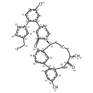 C[C@@H]1CCC[C@H](n2cnc(-c3cc(Cl)ccc3-n3cc(CF)nn3)cc2=O)c2cncc(c2)-c2ccc(C#N)cc2NC1=O